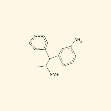 [CH2]C(NC)C(c1ccccc1)c1cccc(N)c1